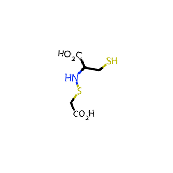 O=C(O)CSNC(CS)C(=O)O